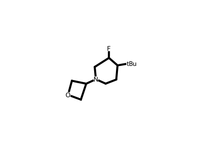 CC(C)(C)C1CCN(C2COC2)CC1F